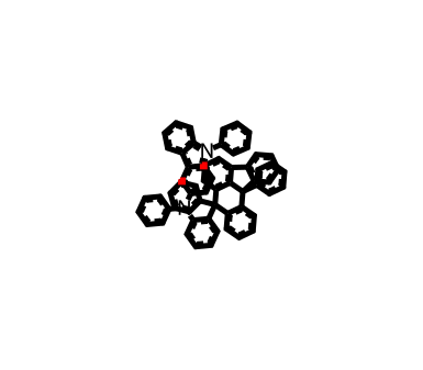 c1ccc(N(c2ccc3c(c2)c2ccccc2n3-c2ccccc2)c2ccccc2C2(c3ccccc3)c3ccccc3C3(c4ccccc4)c4ccccc4-c4cccc2c43)cc1